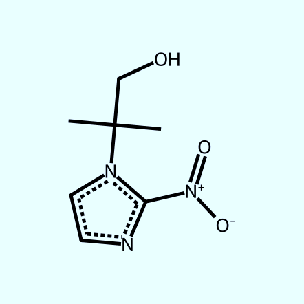 CC(C)(CO)n1ccnc1[N+](=O)[O-]